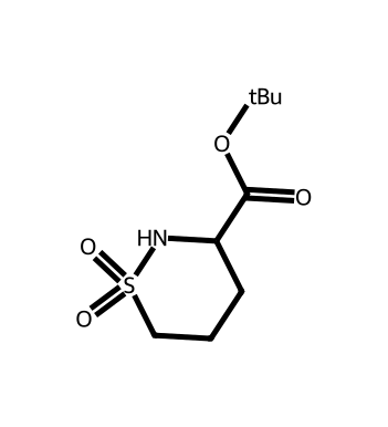 CC(C)(C)OC(=O)C1CCCS(=O)(=O)N1